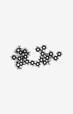 Cc1cc2c(cc1Nc1ccc(-c3ccc(-c4cccc(-c5ccc(N6c7ccc(N(c8ccccc8)c8ccccc8)cc7Bc7c(-c8ccccc8Nc8cccc(-c9ccccc9)c8)cc8c(c76)-c6ccccc6C8(C)C)c(C)c5)c4)cc3)cc1-c1cc3c(c4c1Bc1ccc(-c5ccccc5)cc1N4c1cc4c(cc1C)C(C)(C)CCC4(C)C)-c1ccccc1C3(C)C)C(C)(C)CCC2(C)C